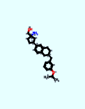 CC(C)Oc1cccc(C[C@@H]2CCc3cc([C@H]4CC[C@](N)(CO)C4)ccc3C2)c1